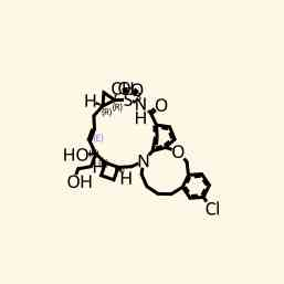 C[C@@]12C[C@H]1C/C=C/[C@@](O)(CCO)[C@@H]1CC[C@H]1CN1CCCCc3cc(Cl)ccc3COc3ccc(cc31)C(=O)NS2(=O)=O